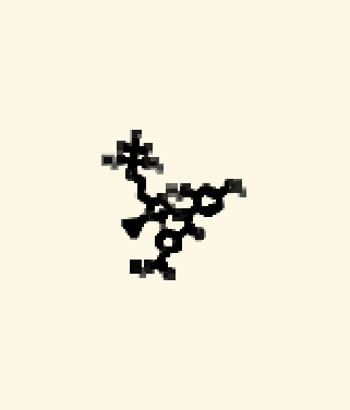 CC(=O)N1C[C@H](C(=O)Nc2ccc(C)cc2C)[C@@H](c2nnc(CCOC(C)(C)C(F)(F)F)n2C2CC2)C1